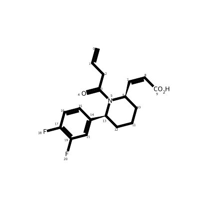 C=CCC(=O)N1[C@@H](/C=C\C(=O)O)CCC[C@H]1c1ccc(F)c(F)c1